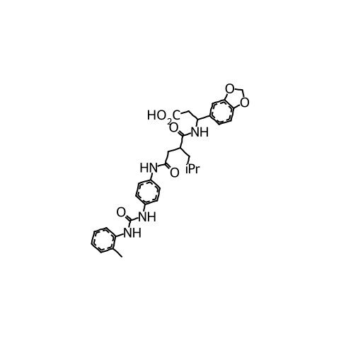 Cc1ccccc1NC(=O)Nc1ccc(NC(=O)CC(CC(C)C)C(=O)NC(CC(=O)O)c2ccc3c(c2)OCO3)cc1